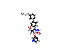 COc1cccc(-c2cc3c(cc2F)C(NC(=O)OC2CN4CCC2CC4)C(C)(C)CO3)c1